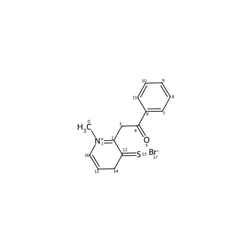 C[N+]1=C(CC(=O)c2ccccc2)C(=S)CC=C1.[Br-]